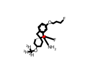 [2H]C([2H])([2H])O[C@H]1CC[C@]2(CC1)Cc1ccc(OCCCF)cc1C21C=C(F)C(N)=N1